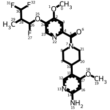 COc1cc(C(=O)N2CCC(c3cnc(N)cc3OC)CC2)ncc1OC(F)C(C)C(F)F